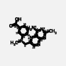 Cc1nc(N)c2nc(CN(C)c3cccc(C(=O)O)c3)cnc2n1